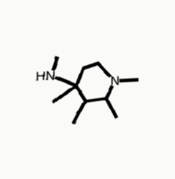 CNC1(C)CCN(C)C(C)C1C